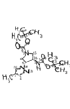 Cc1cnn([C@@H]2CN(C(=O)OC(C)(C)C)C[C@H]2NC(=O)OC(C)(C)C)c1